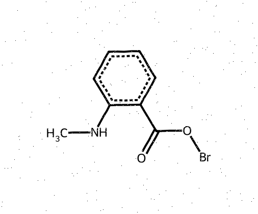 CNc1ccccc1C(=O)OBr